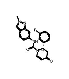 Cn1cc2ccc(NC(=O)N3C=CC(=O)C[C@H]3c3cccc(F)c3)cc2n1